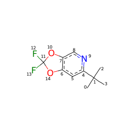 CC(C)(C)c1cc2c(cn1)OC(F)(F)O2